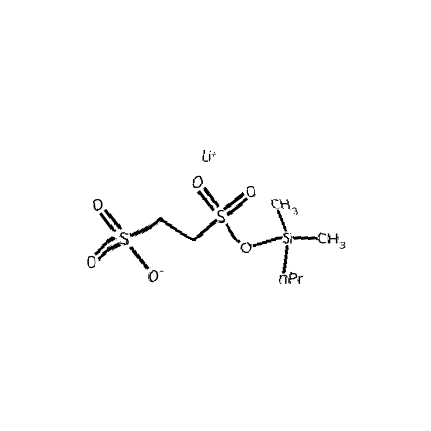 CCC[Si](C)(C)OS(=O)(=O)CCS(=O)(=O)[O-].[Li+]